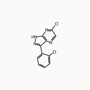 Clc1cnc2c(-c3ccccc3Cl)n[nH]c2n1